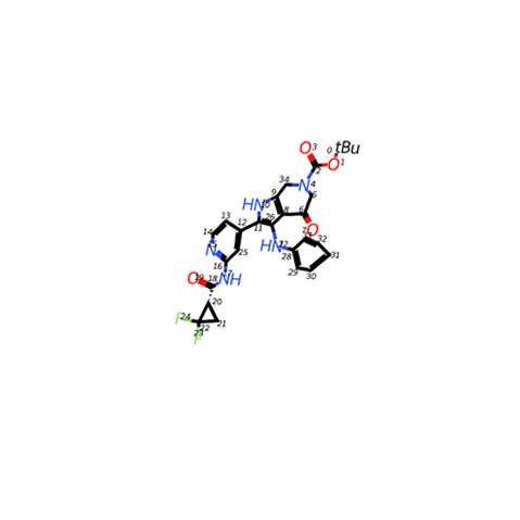 CC(C)(C)OC(=O)N1CC(=O)c2c([nH]c(-c3ccnc(NC(=O)[C@@H]4CC4(F)F)c3)c2Nc2ccccc2)C1